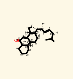 CC(C)[C@@H](C)C=C[C@@H](C)[C@H]1CC[C@H]2C3=CC(=O)C4CCCC[C@]4(C)[C@H]3CC[C@]12C